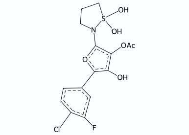 CC(=O)Oc1c(N2CCCS2(O)O)oc(-c2ccc(Cl)c(F)c2)c1O